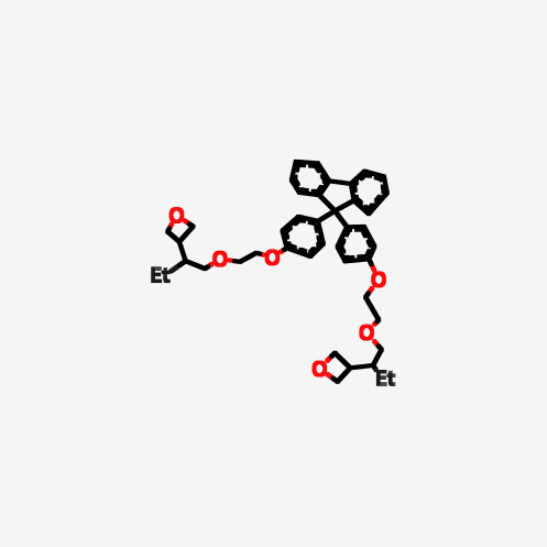 CCC(COCCOc1ccc(C2(c3ccc(OCCOCC(CC)C4COC4)cc3)c3ccccc3-c3ccccc32)cc1)C1COC1